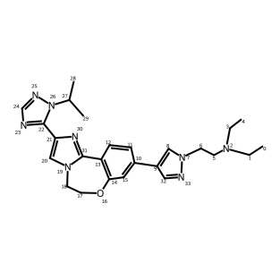 CCN(CC)CCn1cc(-c2ccc3c(c2)OCCn2cc(-c4ncnn4C(C)C)nc2-3)cn1